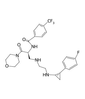 O=C(N[C@@H](CNCCNC1=C(c2ccc(F)cc2)C1)C(=O)N1CCOCC1)c1ccc(C(F)(F)F)cc1